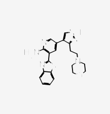 Nc1ncc(-c2c[nH]nc2CCN2CCOCC2)cc1-c1nc2ccccc2s1